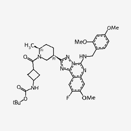 COc1ccc(CNc2nc3cc(OC)c(F)cc3c3nc([C@@H]4CC[C@H](C)N(C(=O)C5CC(NC(=O)OC(C)(C)C)C5)C4)nn23)c(OC)c1